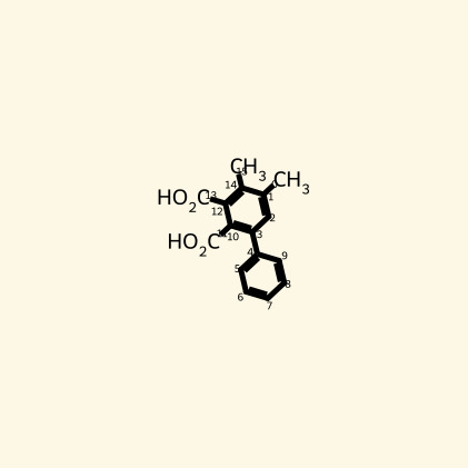 Cc1cc(-c2ccccc2)c(C(=O)O)c(C(=O)O)c1C